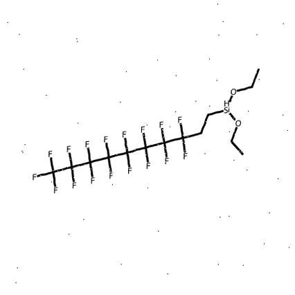 CCO[SiH](CCC(F)(F)C(F)(F)C(F)(F)C(F)(F)C(F)(F)C(F)(F)C(F)(F)C(F)(F)F)OCC